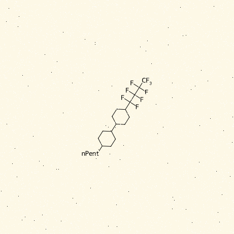 CCCCCC1CCC(C2CCC(C(F)(F)C(F)(F)C(F)(F)C(F)(F)F)CC2)CC1